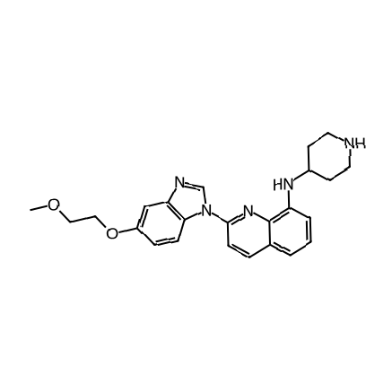 COCCOc1ccc2c(c1)ncn2-c1ccc2cccc(NC3CCNCC3)c2n1